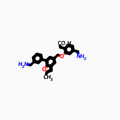 Cc1cc2cc(COc3cc(CN)ccc3CC(=O)O)cc(-c3cccc(CN)c3)c2o1